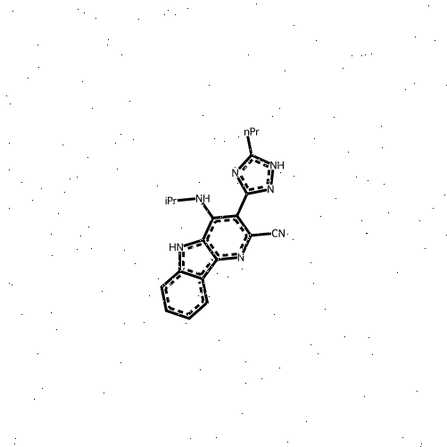 CCCc1nc(-c2c(C#N)nc3c([nH]c4ccccc43)c2NC(C)C)n[nH]1